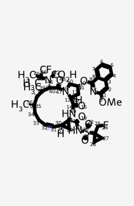 COc1cc2ccccc2c(O[C@@H]2C[C@H]3C(=O)N[C@]4(C(=O)NS(=O)(=O)C5(CF)CC5)C[C@H]4/C=C\CC[C@@H](C)C[C@@H](C)[C@H](N(C(=O)O)C(C)(C)C(F)(F)F)C(=O)N3C2)n1